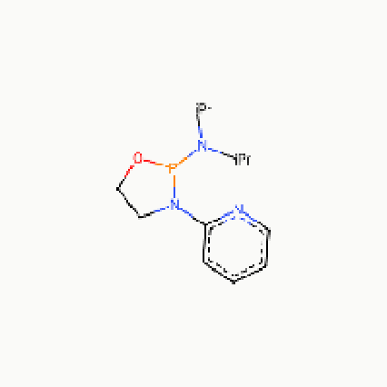 CC(C)N(C(C)C)P1OCCN1c1ccccn1